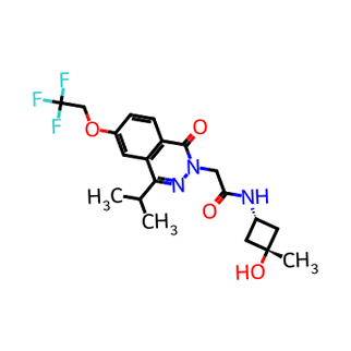 CC(C)c1nn(CC(=O)N[C@H]2C[C@@](C)(O)C2)c(=O)c2ccc(OCC(F)(F)F)cc12